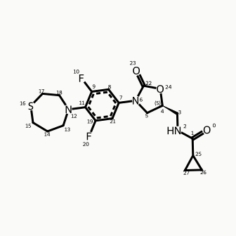 O=C(NC[C@H]1CN(c2cc(F)c(N3CCCSCC3)c(F)c2)C(=O)O1)C1CC1